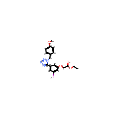 CCOC(=O)COc1cc(I)cc(-c2nnnn2Cc2ccc(OC)cc2)c1